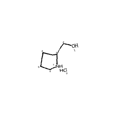 Cl.OCC1CCCN1